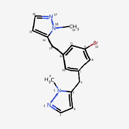 Cn1nccc1Cc1cc(Br)cc(Cc2ccnn2C)c1